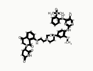 COc1cc(N2CCN(CCNc3cccc4c3C(=O)N(C3CCC(=O)NC3=O)CC4=O)CC2)ccc1Nc1ncc(Cl)c(Nc2ccccc2P(C)(C)=O)n1